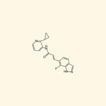 O=C(/C=C/c1ccc2cn[nH]c2c1F)Nc1cccnc1C1CC1